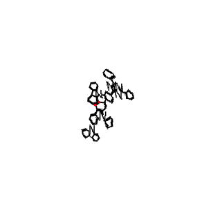 C1=CC2c3ccccc3N(c3ccc4c5ccc(-c6ccc(-c7nc(-c8ccccc8)nc(-c8ccccc8)n7)cc6-n6c7ccccc7c7ccccc76)cc5n(-c5ccccc5)c4c3)C2C=C1